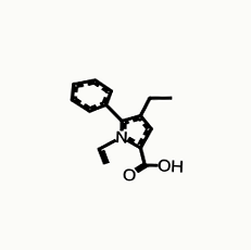 C=Cn1c(C(=O)O)cc(CC)c1-c1ccccc1